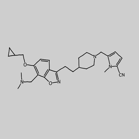 CN(C)Cc1c(OCC2CC2)ccc2c(CCC3CCN(Cc4ccc(C#N)n4C)CC3)noc12